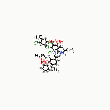 C=C(N)Cc1c(C)c(Cl)cc(Cl)c1O.C=CCc1c(C)cccc1O.Cc1cc(O)c(Cl)cc1Cl.Cc1cccc(O)c1